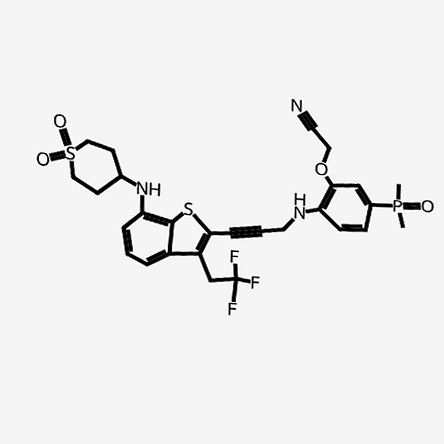 CP(C)(=O)c1ccc(NCC#Cc2sc3c(NC4CCS(=O)(=O)CC4)cccc3c2CC(F)(F)F)c(OCC#N)c1